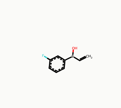 C=CB(O)c1cccc(F)c1